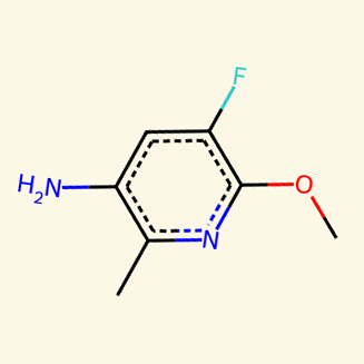 COc1nc(C)c(N)cc1F